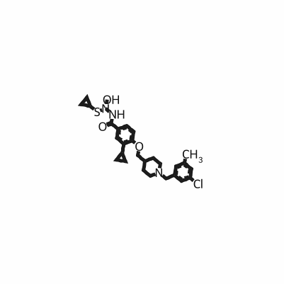 Cc1cc(Cl)cc(CN2CCC(COc3ccc(C(=O)NN(O)SC4CC4)cc3C3CC3)CC2)c1